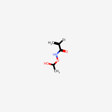 C=C(CC)C(=O)NOC(C)O